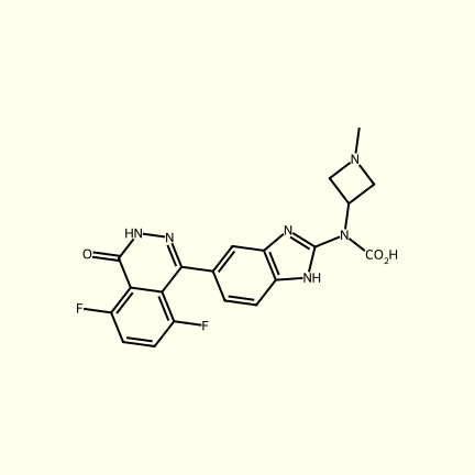 CN1CC(N(C(=O)O)c2nc3cc(-c4n[nH]c(=O)c5c(F)ccc(F)c45)ccc3[nH]2)C1